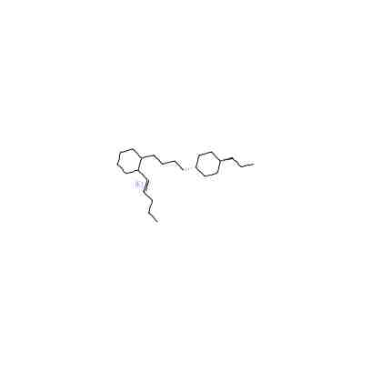 CCC/C=C/C1CCCCC1CCCC[C@H]1CC[C@H](CCC)CC1